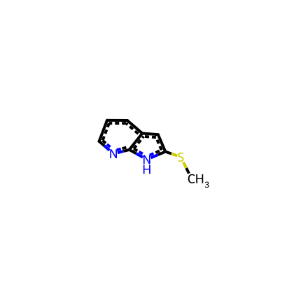 CSc1cc2cccnc2[nH]1